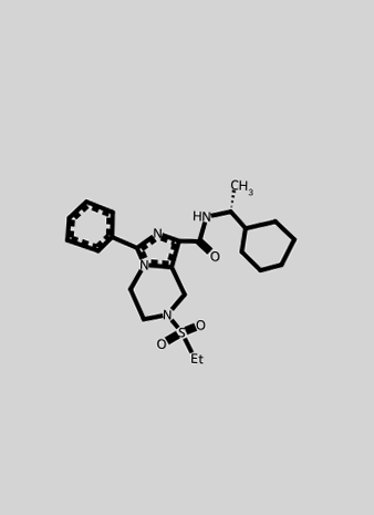 CCS(=O)(=O)N1CCn2c(-c3ccccc3)nc(C(=O)N[C@H](C)C3CCCCC3)c2C1